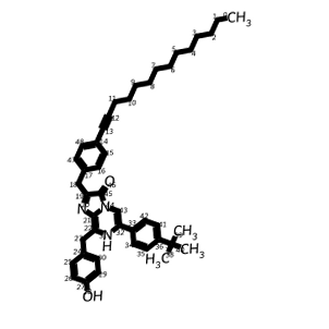 CCCCCCCCCCCCC#Cc1ccc(Cc2nc3c(Cc4ccc(O)cc4)[nH]c(-c4ccc(C(C)(C)C)cc4)cn-3c2=O)cc1